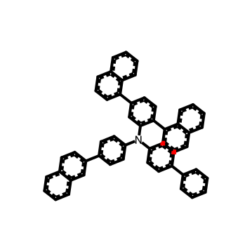 c1ccc(-c2ccc(N(c3ccc(-c4ccc5ccccc5c4)cc3)c3cc(-c4cccc5ccccc45)ccc3-c3cccc4ccccc34)cc2)cc1